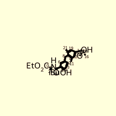 CCOC(=O)[C@@H](NC(=O)c1cc(Cc2c(C)cc(CP(C)(=O)O)cc2C)ccc1O)C(C)CC